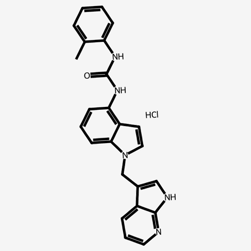 Cc1ccccc1NC(=O)Nc1cccc2c1ccn2Cc1c[nH]c2ncccc12.Cl